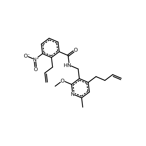 C=CCCc1cc(C)nc(OC)c1CNC(=O)c1cccc([N+](=O)[O-])c1CC=C